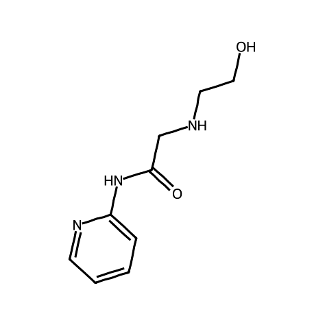 O=C(CNCCO)Nc1ccccn1